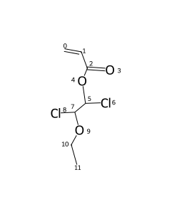 C=CC(=O)OC(Cl)C(Cl)OCC